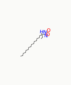 CCCCCCCCCCCCCCCC(C)(CC)c1noc(=O)[nH]1